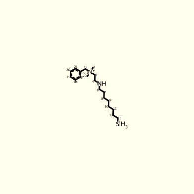 C[N+](C)(CCNCCCCCCCC[SiH3])Cc1ccccc1